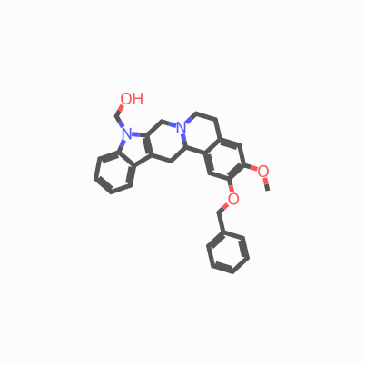 COc1cc2c(cc1OCc1ccccc1)C1Cc3c(n(CO)c4ccccc34)CN1CC2